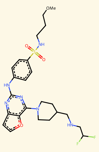 COCCCNS(=O)(=O)c1ccc(Nc2nc(N3CCC(CNCC(F)F)CC3)c3occc3n2)cc1